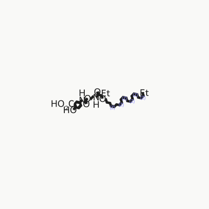 CC/C=C\C/C=C\C/C=C\C/C=C\C/C=C\C/C=C\CCCOC(CC)C(=O)NCCOC(=O)Nc1ccc(O)c(C(=O)O)c1